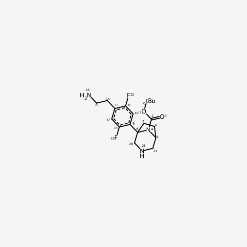 CC(C)(C)OC(=O)N1C2CCC1(c1cc(F)c(CCN)cc1F)CNC2